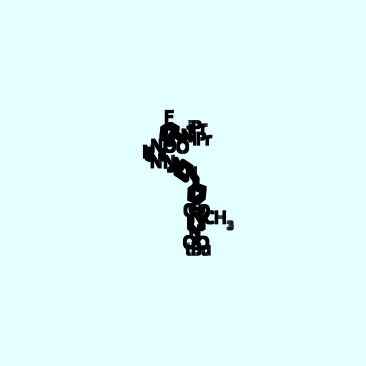 CC(C)N(C(=O)c1cc(F)ccc1Oc1nncnc1N1CC2(CCN(Cc3ccc(S(=O)(=O)N4CCN(C(=O)OC(C)(C)C)C[C@@H]4C)cc3)CC2)C1)C(C)C